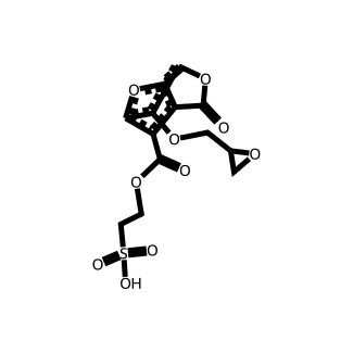 O=C(OCCS(=O)(=O)O)c1c2c3oc1c(OCC1CO1)c3OC2=O